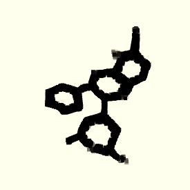 Cc1cc(-c2nc3ccc(=O)[nH]c3nc2-c2ccccc2)cc(C(F)(F)F)n1